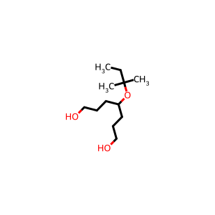 CCC(C)(C)OC(CCCO)CCCO